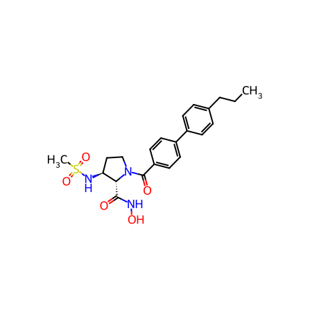 CCCc1ccc(-c2ccc(C(=O)N3CC[C@H](NS(C)(=O)=O)[C@H]3C(=O)NO)cc2)cc1